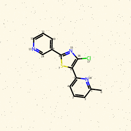 Cc1cccc(-c2sc(-c3cccnc3)nc2Cl)n1